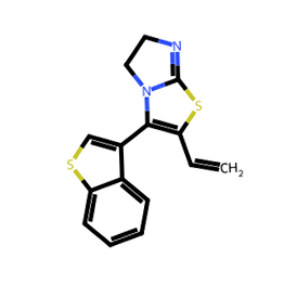 C=CC1=C(c2csc3ccccc23)N2CCN=C2S1